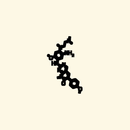 COc1ccc(-c2cc3cnc(Nc4cc(N)c(N(C)CCN(C)C)cc4OC)nc3n(C)c2=O)cc1